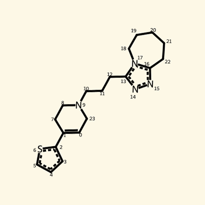 C1=C(c2cccs2)CCN(CCCc2nnc3n2CCCCC3)C1